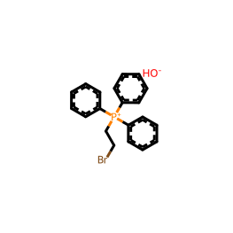 BrCC[P+](c1ccccc1)(c1ccccc1)c1ccccc1.[OH-]